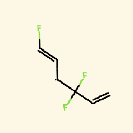 C=CC(F)(F)[CH]C=CF